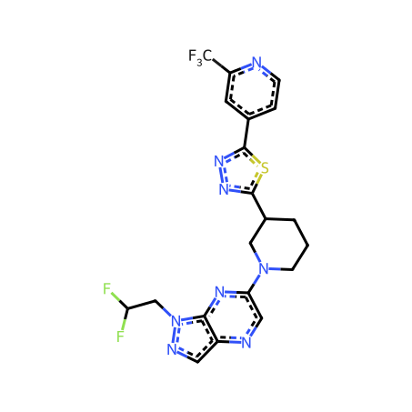 FC(F)Cn1ncc2ncc(N3CCCC(c4nnc(-c5ccnc(C(F)(F)F)c5)s4)C3)nc21